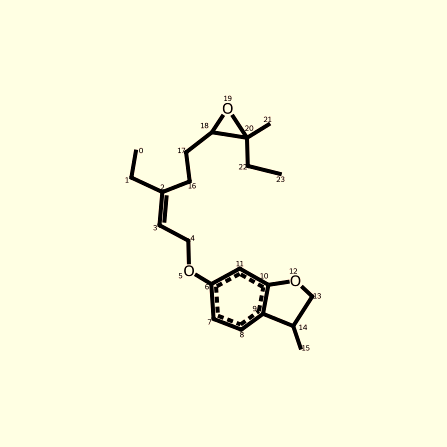 CCC(=CCOc1ccc2c(c1)OCC2C)CCC1OC1(C)CC